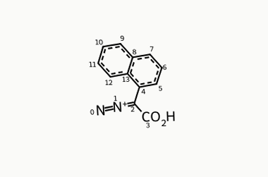 [N-]=[N+]=C(C(=O)O)c1cccc2ccccc12